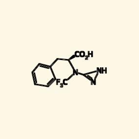 O=C(O)[C@H](Cc1ccccc1)N(C1=NN1)C(F)(F)F